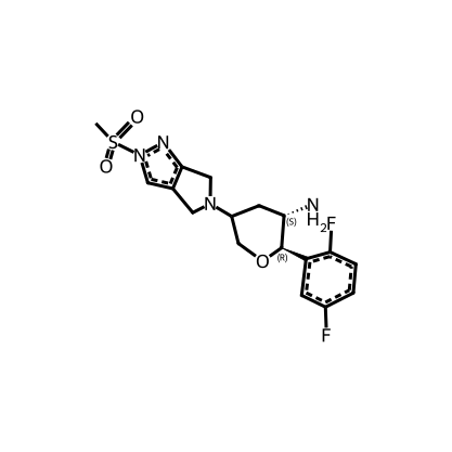 CS(=O)(=O)n1cc2c(n1)CN(C1CO[C@H](c3cc(F)ccc3F)[C@@H](N)C1)C2